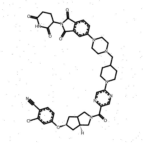 N#Cc1ccc(O[C@H]2CC3CN(C(=O)c4cnc(N5CCC(CN6CCN(c7ccc8c(c7)C(=O)N(C7CCC(=O)NC7=O)C8=O)CC6)CC5)cn4)C[C@H]3C2)cc1Cl